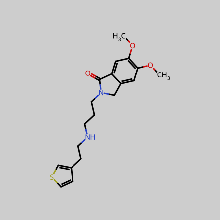 COc1cc2c(cc1OC)C(=O)N(CCCNCCc1ccsc1)C2